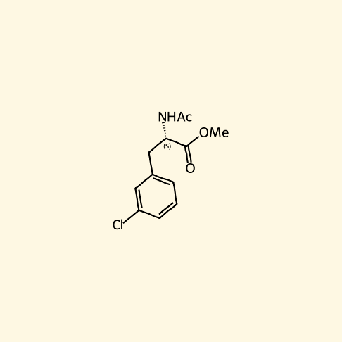 COC(=O)[C@H](Cc1cccc(Cl)c1)NC(C)=O